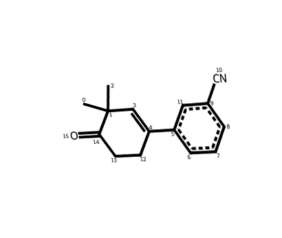 CC1(C)C=C(c2cccc(C#N)c2)CCC1=O